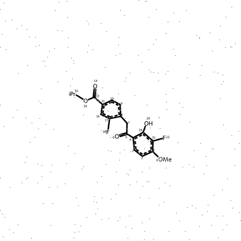 COc1ccc(C(=O)Cc2ccc(C(=O)OC(C)C)cc2F)c(O)c1F